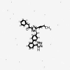 CCC#Cc1nc(C(=O)Cc2ccccc2)nn1Cc1ccc(-c2ccccc2-c2nnn[nH]2)cc1